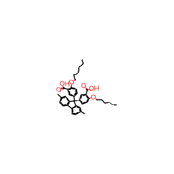 CCCCCCOc1ccc(C2(c3ccc(OCCCCCC)c(C(=O)O)c3)c3cc(C)ccc3-c3ccc(C)cc32)cc1C(=O)O